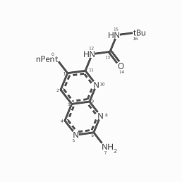 CCCCCc1cc2cnc(N)nc2nc1NC(=O)NC(C)(C)C